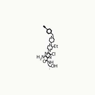 C#Cc1ccc(CN2CCC(N3CCN(c4nc(N)c(C(=O)NC[C@@H](C)O)nc4Cl)C[C@@H]3CC)CC2)cc1